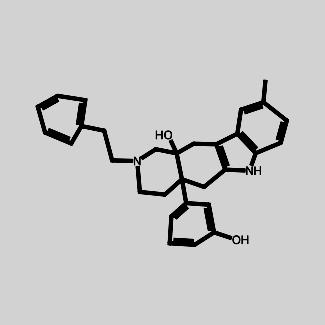 Cc1ccc2[nH]c3c(c2c1)CC1(O)CN(CCc2ccccc2)CCC1(c1cccc(O)c1)C3